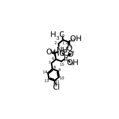 CC(CNC(=O)C(Cc1ccc(Cl)cc1)CP(=O)(O)O)C(=O)O